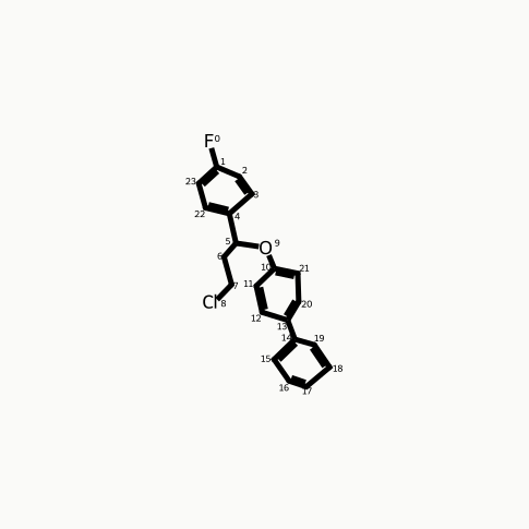 Fc1ccc(C(CCCl)Oc2ccc(-c3ccccc3)cc2)cc1